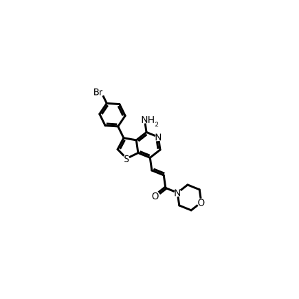 Nc1ncc(C=CC(=O)N2CCOCC2)c2scc(-c3ccc(Br)cc3)c12